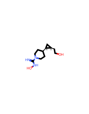 N=C(NO)N1CCC([C@H]2C[C@H]2CCO)CC1